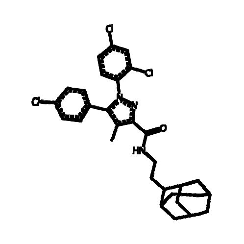 Cc1c(C(=O)NCCC2C3CC4CC(C3)CC2C4)nn(-c2ccc(Cl)cc2Cl)c1-c1ccc(Cl)cc1